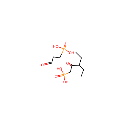 CCC(CC)C(=O)CP(=O)(O)O.O=CCCP(=O)(O)O